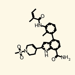 C/C=C(/C)C(=O)Nc1cccc(-c2ccc(C(N)=O)c3[nH]c(C4=CCN(S(C)(=O)=O)CC4)cc23)c1C